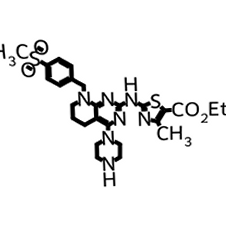 CCOC(=O)c1sc(Nc2nc(N3CCNCC3)c3c(n2)N(Cc2ccc(S(C)(=O)=O)cc2)CCC3)nc1C